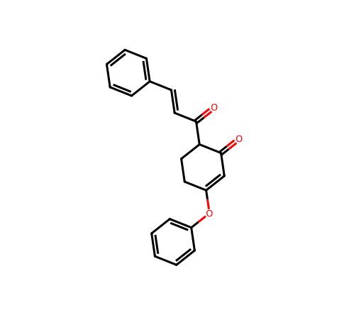 O=C(C=Cc1ccccc1)C1CCC(Oc2ccccc2)=CC1=O